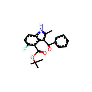 Cc1[nH]c2ccc(F)c(C(=O)OC(C)(C)C)c2c1C(=O)c1ccccc1